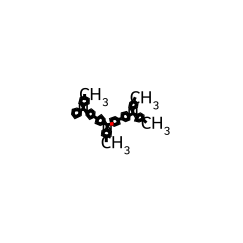 Cc1ccc(N(c2ccccc2)c2ccc(-c3ccc(N(c4ccc(C)cc4)c4ccc(-c5ccc(N(c6ccc(C)cc6)c6ccc(C)cc6)cc5)cc4)cc3)cc2)cc1